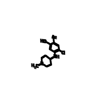 CC(=O)c1cc(Cl)c(NC2CCN(C)CC2)cc1O